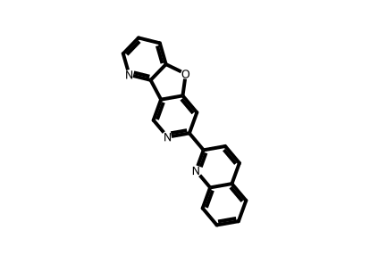 c1ccc2nc(-c3cc4oc5cccnc5c4cn3)ccc2c1